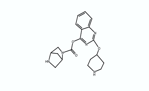 O=C(Oc1nc(OC2CCNCC2)nc2ccccc12)N1CC2CC1CN2